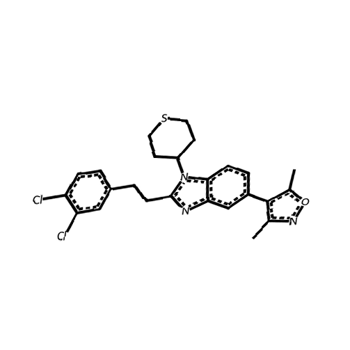 Cc1noc(C)c1-c1ccc2c(c1)nc(CCc1ccc(Cl)c(Cl)c1)n2C1CCSCC1